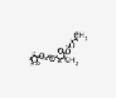 C=CCOCOC(=O)C(=C)CCOCCOC1CCCC1